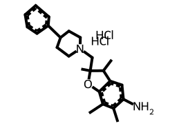 Cc1c(N)cc2c(c1C)OC(C)(CN1CCC(c3ccccc3)CC1)C2C.Cl.Cl